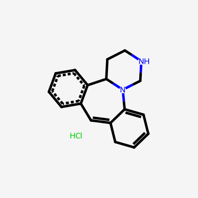 C1=CCC2=Cc3ccccc3C3CCNCN3C2=C1.Cl